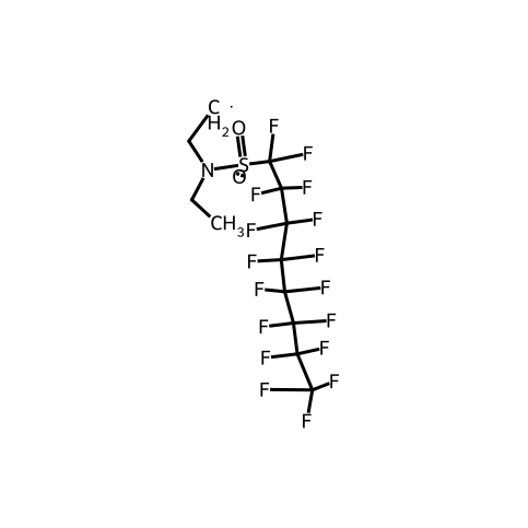 [CH2]CN(CC)S(=O)(=O)C(F)(F)C(F)(F)C(F)(F)C(F)(F)C(F)(F)C(F)(F)C(F)(F)C(F)(F)F